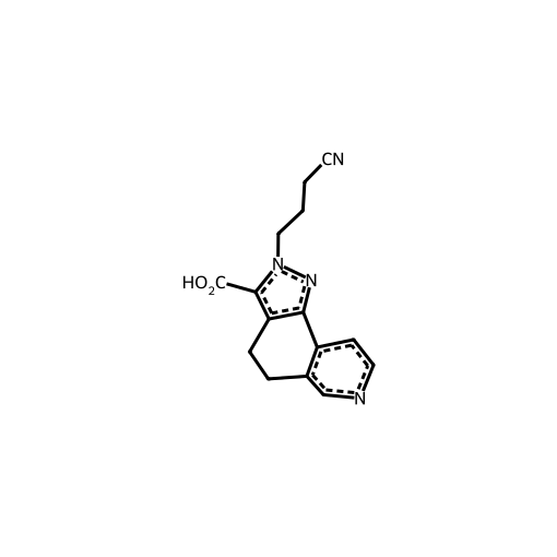 N#CCCCn1nc2c(c1C(=O)O)CCc1cnccc1-2